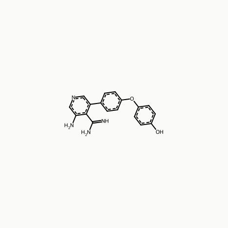 N=C(N)c1c(N)cncc1-c1ccc(Oc2ccc(O)cc2)cc1